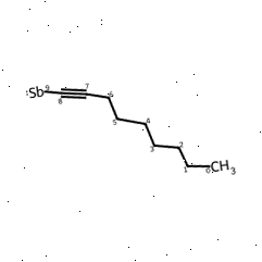 CCCCCCCC#[C][Sb]